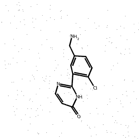 NCc1ccc(Cl)c(-c2nccc(=O)[nH]2)c1